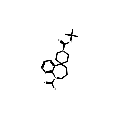 CC(C)(C)OC(=O)N1CCC2(CCCN(C(N)=O)c3ccccc32)CC1